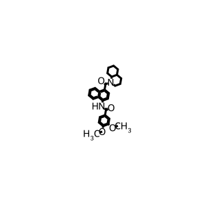 COc1ccc(C(=O)Nc2ccc(C(=O)N3CCCC4CCCCC43)c3ccccc23)cc1OC